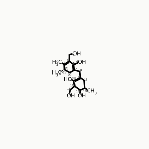 CC1=C(CO)C(O)=C(CC2=C(O)C(CO)C(O)C(C)C2)C[C@@H]1C